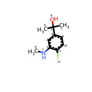 CNc1cc(C(C)(C)O)ccc1F